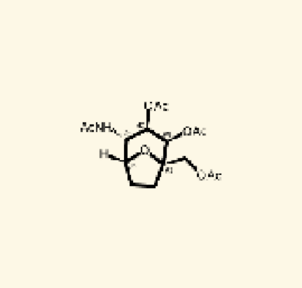 CC(=O)N[C@@H]1[C@@H](OC(C)=O)[C@@H](OC(C)=O)[C@]2(COC(C)=O)CC[C@H]1O2